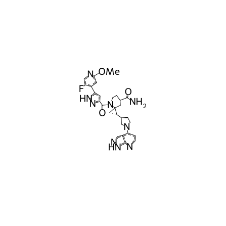 COc1cc(-c2cc(C(=O)N3CCC(C(N)=O)CC34C[C@H]4[C@H]3CCN(c4ccnc5[nH]ncc45)C3)n[nH]2)c(F)cn1